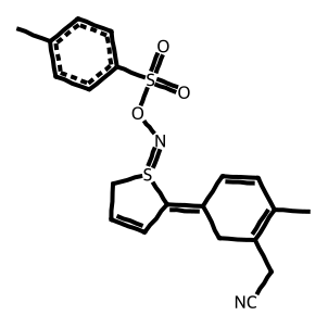 CC1=C(CC#N)CC(=C2C=CCS2=NOS(=O)(=O)c2ccc(C)cc2)C=C1